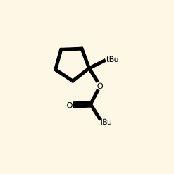 CCC(C)C(=O)OC1(C(C)(C)C)CCCC1